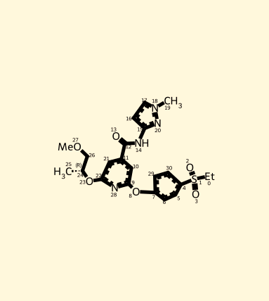 CCS(=O)(=O)c1ccc(Oc2cc(C(=O)Nc3ccn(C)n3)cc(O[C@H](C)COC)n2)cc1